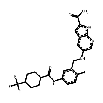 CC(=O)c1cc2cc(NCc3cc(NC(=O)C4CCC(C(F)(F)F)CC4)ccc3F)cnc2[nH]1